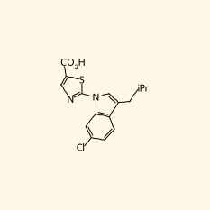 CC(C)Cc1cn(-c2ncc(C(=O)O)s2)c2cc(Cl)ccc12